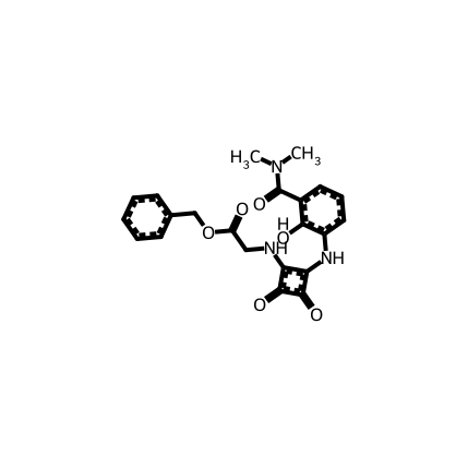 CN(C)C(=O)c1cccc(Nc2c(NCC(=O)OCc3ccccc3)c(=O)c2=O)c1O